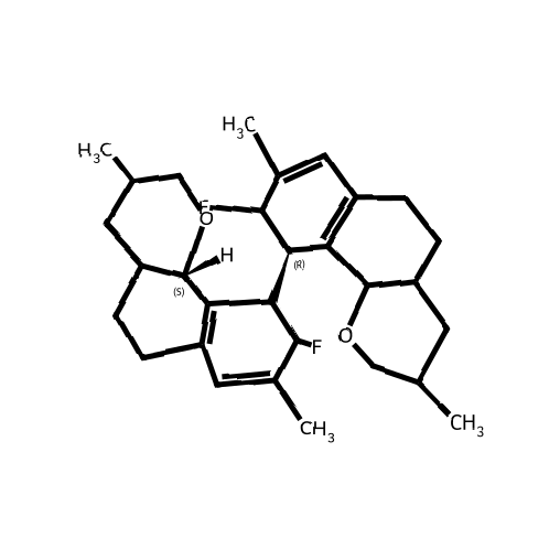 CC1=CC2=C(C([C@@H]3C4=C(C=C(C)C3F)CCC3CC(C)COC43)C1F)[C@H]1OCC(C)CC1CC2